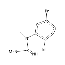 CNC(=N)N(C)c1cc(Br)ccc1Br